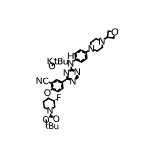 CC(C)(C)OC(=O)N1CC[C@H](Oc2ccc(-c3ncnc(Nc4ccc(N5CCN(C6COC6)CC5)cc4)n3)cc2C#N)[C@H](F)C1.CC(C)(C)[O-].[K+]